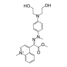 COC(=O)/C(=N\N(C)c1ccc(N(CCO)CCO)cc1)c1cc[n+](C)c2ccccc12